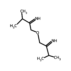 CC(C)C(=N)COCC(=N)C(C)C